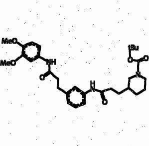 COc1ccc(NC(=O)CCc2cccc(NC(=O)CCC3CCCN(C(=O)OC(C)(C)C)C3)c2)cc1OC